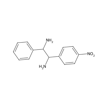 NC(c1ccccc1)C(N)c1ccc([N+](=O)[O-])cc1